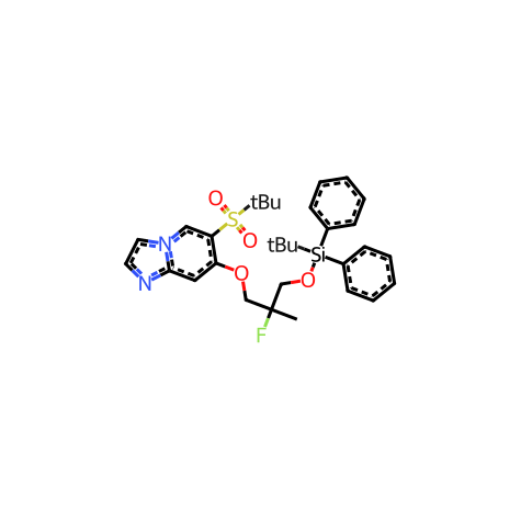 CC(F)(COc1cc2nccn2cc1S(=O)(=O)C(C)(C)C)CO[Si](c1ccccc1)(c1ccccc1)C(C)(C)C